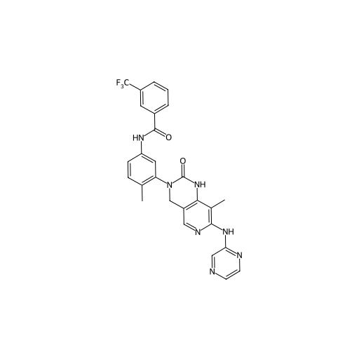 Cc1ccc(NC(=O)c2cccc(C(F)(F)F)c2)cc1N1Cc2cnc(Nc3cnccn3)c(C)c2NC1=O